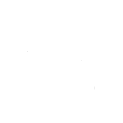 O=C(I)NC12CC(NC(=O)C3=CC(O)c4ccccc4O3)(C1)C2